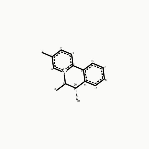 Cc1ccc2[n+](c1)C(C)[C@@H](C)c1ccccc1-2